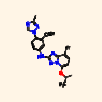 COc1cc(Nc2nc3c(C(C)C)ccc(OC(C)C(F)(F)F)n3n2)ccc1-n1cnc(C)n1